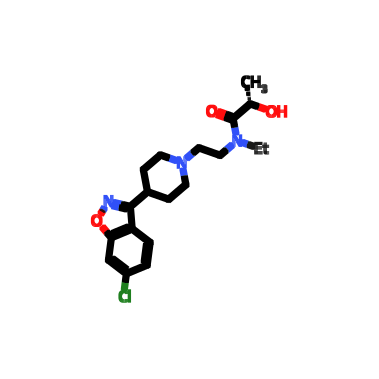 CCN(CCN1CCC(c2noc3cc(Cl)ccc23)CC1)C(=O)[C@H](C)O